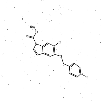 CC(C)(C)OC(=O)n1ccc2cc(SCc3ccc(Cl)cc3)c(Cl)cc21